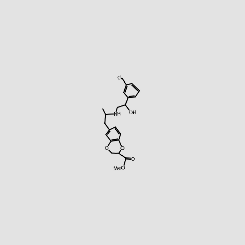 COC(=O)C1COc2cc(CC(C)NCC(O)c3cccc(Cl)c3)ccc2O1